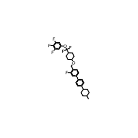 CC1CCC(c2ccc(-c3ccc(COC4CCC(C(F)(F)Oc5cc(F)c(F)c(F)c5)CC4)c(F)c3)cc2)CC1